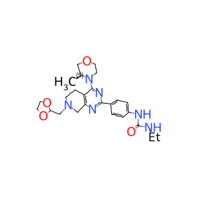 CCNC(=O)Nc1ccc(-c2nc3c(c(N4CCOC[C@@H]4C)n2)CCN(CC2OCCO2)C3)cc1